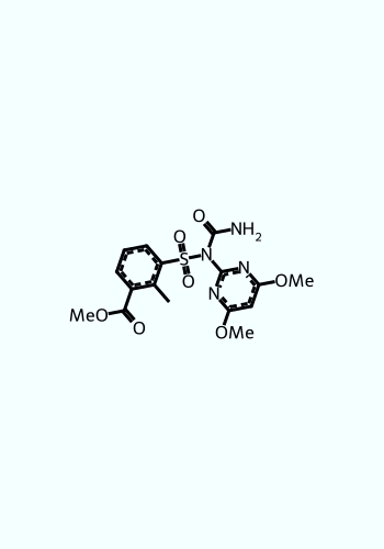 COC(=O)c1cccc(S(=O)(=O)N(C(N)=O)c2nc(OC)cc(OC)n2)c1C